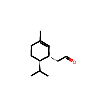 CC1=C[C@H](CC=O)[C@@H](C(C)C)CC1